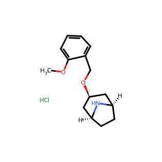 COc1ccccc1CO[C@H]1C[C@H]2CC[C@@H](C1)N2.Cl